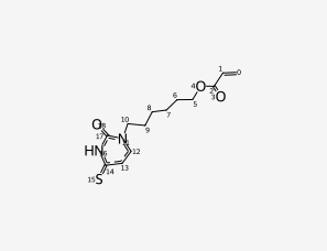 C=CC(=O)OCCCCCCn1ccc(=S)[nH]c1=O